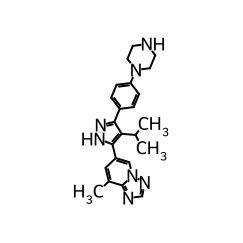 Cc1cc(-c2[nH]nc(-c3ccc(N4CCNCC4)cc3)c2C(C)C)cn2ncnc12